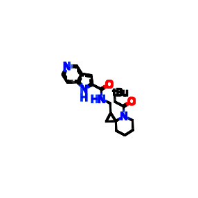 CC(C)(C)CC(=O)N1CCCCC12CC2CNC(=O)c1cc2cnccc2[nH]1